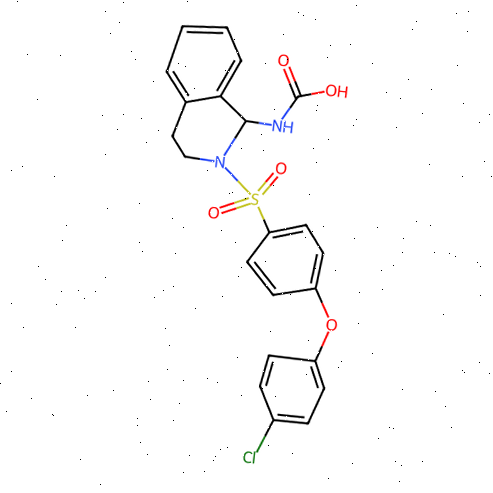 O=C(O)NC1c2ccccc2CCN1S(=O)(=O)c1ccc(Oc2ccc(Cl)cc2)cc1